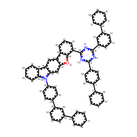 c1ccc(-c2ccc(-c3nc(-c4cccc(-c5ccccc5)c4)nc(-c4cccc5c4oc4cc6c(cc45)c4ccccc4n6-c4ccc(-c5cccc(-c6ccccc6)c5)cc4)n3)cc2)cc1